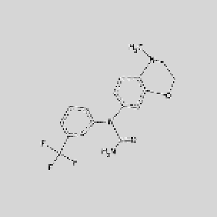 CN1CCOc2cc(N(C(N)=O)c3cccc(C(F)(F)F)c3)ccc21